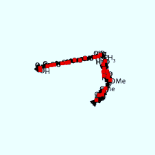 COc1cc2c(cc1OCCCOc1cc3c(cc1OC)C(=O)N1C=C(C4CC4)CC1C=N3)N=CC1CC(c3ccc(NC(=O)[C@H](C)NC(=O)[C@@H](NC(=O)CCOCCOCCOCCOCCOCCOCCOCCOCCNC(=O)CCN4C(=O)C=CC4=O)C(C)C)cc3)=CN1C2=O